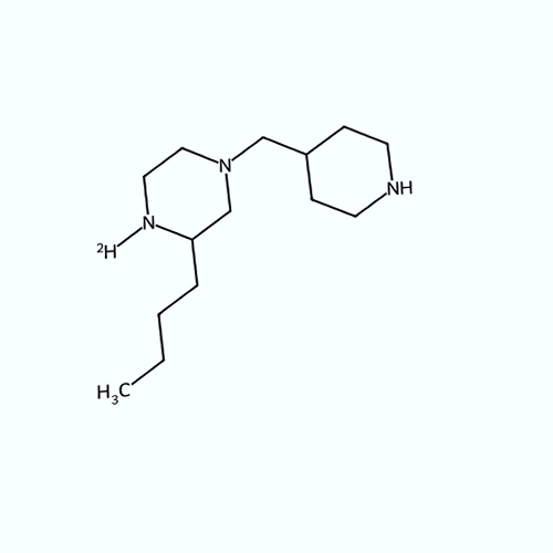 [2H]N1CCN(CC2CCNCC2)CC1CCCC